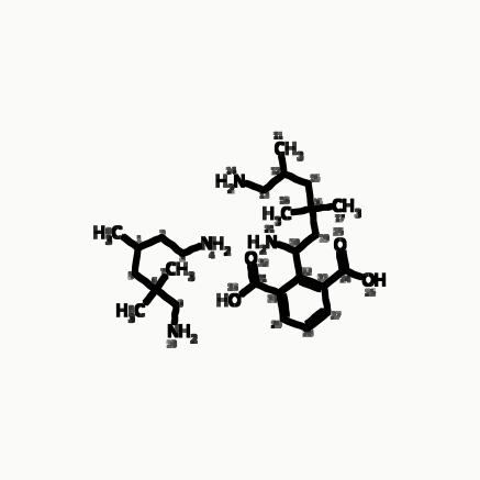 CC(CCN)CC(C)(C)CN.CC(CN)CC(C)(C)CC(N)c1c(C(=O)O)cccc1C(=O)O